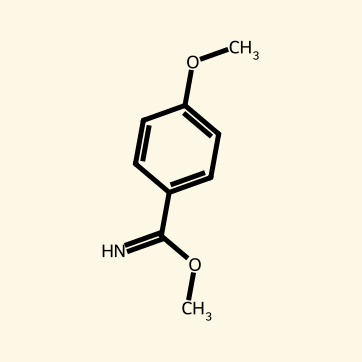 COC(=N)c1ccc(OC)cc1